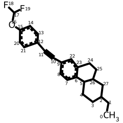 CCC1CCC2c3ccc(C#Cc4ccc(OC(F)F)cc4)cc3CCC2C1